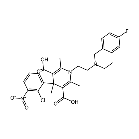 CCN(CCN1C(C)=C(C(=O)O)C(C)(c2cccc([N+](=O)[O-])c2Cl)C(C(=O)O)=C1C)Cc1ccc(F)cc1